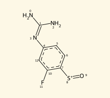 NC(N)=Nc1ccc([S+]=O)c(F)c1